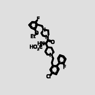 CCOc1cccc(F)c1CN1CCN(C(=O)[C@H](NC(=O)O)C2CCN(CCc3cc(Cl)ccc3-c3ccccc3F)CC2)CC1